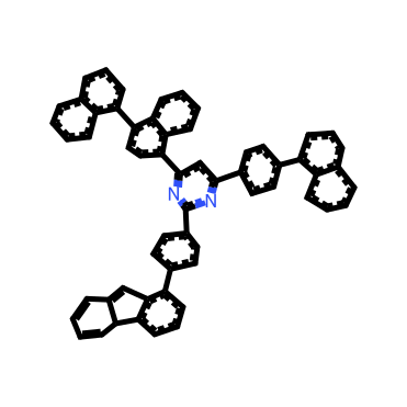 C1=CC2=Cc3c(-c4ccc(-c5nc(-c6ccc(-c7cccc8ccccc78)cc6)cc(-c6ccc(-c7cccc8ccccc78)c7ccccc67)n5)cc4)cccc3C2C=C1